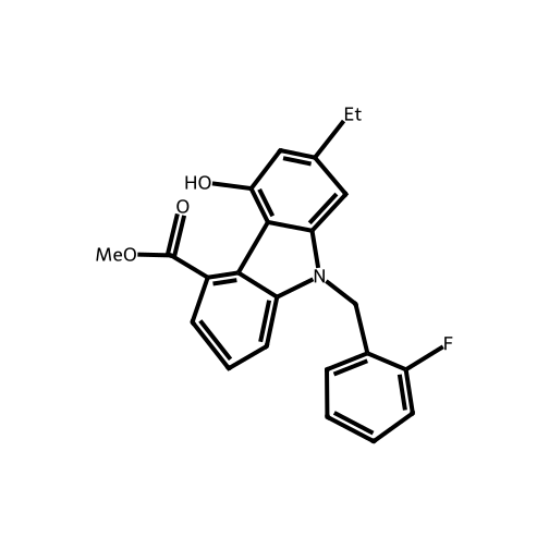 CCc1cc(O)c2c3c(C(=O)OC)cccc3n(Cc3ccccc3F)c2c1